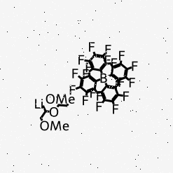 Fc1c(F)c(F)c([B-](c2c(F)c(F)c(F)c(F)c2F)(c2c(F)c(F)c(F)c(F)c2F)c2c(F)c(F)c(F)c(F)c2F)c(F)c1F.[Li][CH](COC)OCCOC